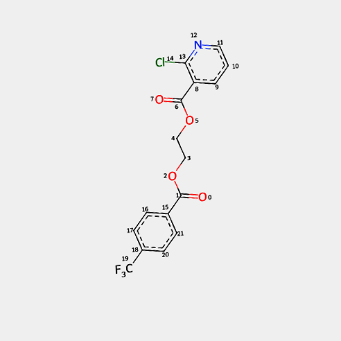 O=C(OCCOC(=O)c1cccnc1Cl)c1ccc(C(F)(F)F)cc1